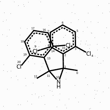 CC1(c2c(Cl)cccc2Cl)NC1(C)c1c(Cl)cccc1Cl